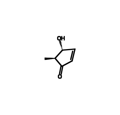 C[C@@H]1C(=O)C=C[C@H]1O